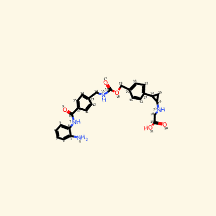 Nc1ccccc1NC(=O)c1ccc(CNC(=O)OCc2ccc(C3CC3NCC(=O)O)cc2)cc1